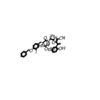 C=C(c1ccccc1O)c1oc(C(NC(=O)[C@H](Cc2ccc(OCc3ccccc3)c(I)c2)NC(=O)OC(C)(C)C)C(C)C)nc1C#N